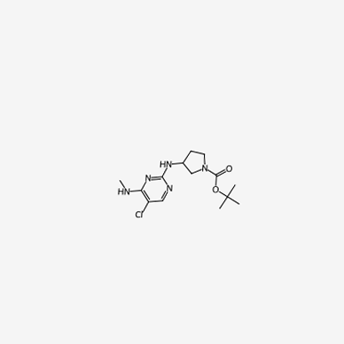 CNc1nc(NC2CCN(C(=O)OC(C)(C)C)C2)ncc1Cl